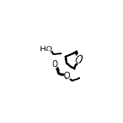 C1CCOC1.CCO.CCOC=O